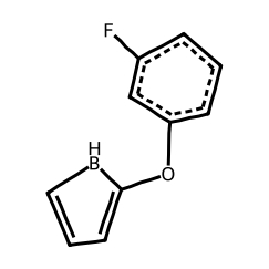 Fc1cccc(OC2=CC=CB2)c1